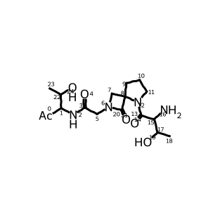 CC(=O)C(NC(=O)CN1CC2(CCCN2C(=O)C(N)C(C)O)C1=O)C(C)O